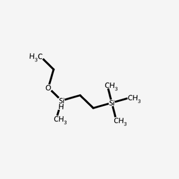 CCO[SiH](C)CC[Si](C)(C)C